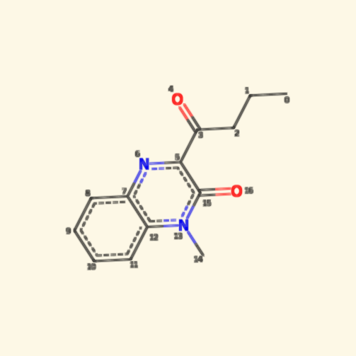 CCCC(=O)c1nc2ccccc2n(C)c1=O